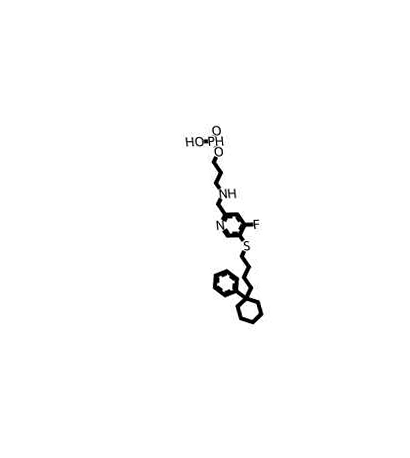 O=[PH](O)OCCCNCc1cc(F)c(SCCCCC2(c3ccccc3)CCCCC2)cn1